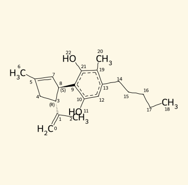 C=C(C)[C@@H]1CC(C)=C[C@H]1c1c(O)cc(CCCCC)c(C)c1O